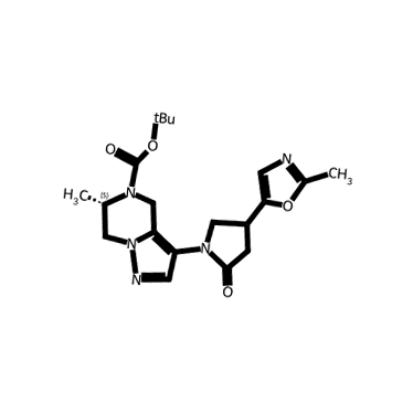 Cc1ncc(C2CC(=O)N(c3cnn4c3CN(C(=O)OC(C)(C)C)[C@@H](C)C4)C2)o1